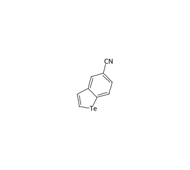 N#Cc1ccc2[te]ccc2c1